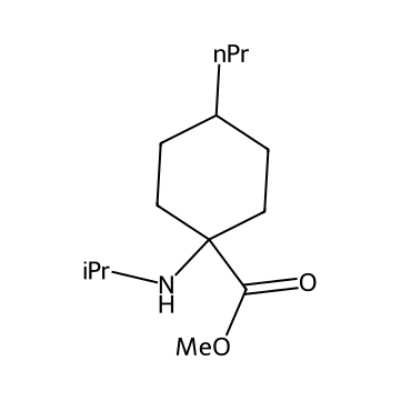 CCCC1CCC(NC(C)C)(C(=O)OC)CC1